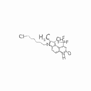 Cc1c(C)n(CCCCCCCl)c2ccc3[nH]c(=O)cc(C(F)(F)F)c3c12